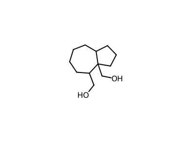 OCC1CCCCC2CCCC12CO